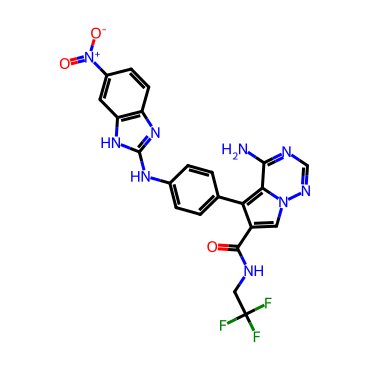 Nc1ncnn2cc(C(=O)NCC(F)(F)F)c(-c3ccc(Nc4nc5ccc([N+](=O)[O-])cc5[nH]4)cc3)c12